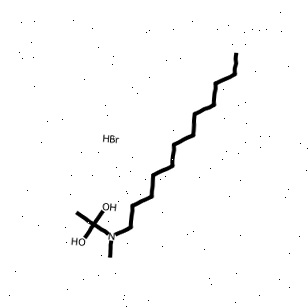 Br.CCCCCCCCCCCCN(C)C(C)(O)O